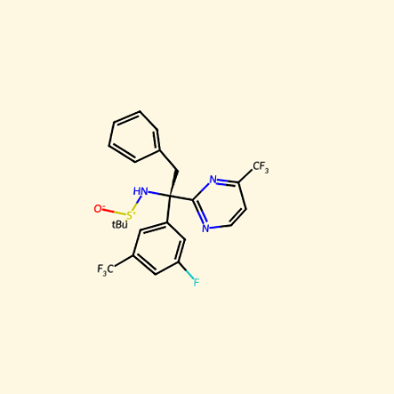 CC(C)(C)[S+]([O-])N[C@@](Cc1ccccc1)(c1cc(F)cc(C(F)(F)F)c1)c1nccc(C(F)(F)F)n1